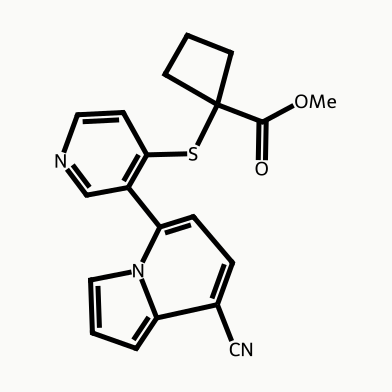 COC(=O)C1(Sc2ccncc2-c2ccc(C#N)c3cccn23)CCC1